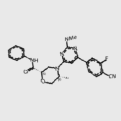 CNc1nc(-c2ccc(C#N)c(F)c2)cc(N2C[C@@H](C(=O)Nc3ccccc3)OC[C@H]2C)n1